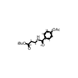 CC(=O)Oc1ccc(C(=O)NCCC(=O)OCC(C)C)cc1